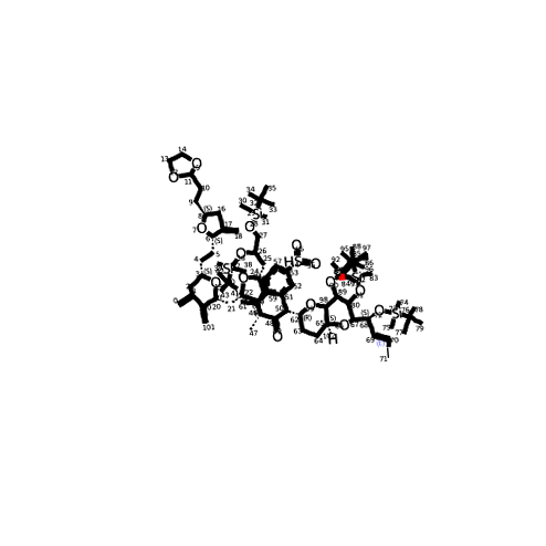 C=C1C[C@H](CC[C@@H]2O[C@@H](CCC3OCCO3)CC2=C)O[C@H](C[C@@H]2O[C@H](CC(CO[Si](C)(C)C(C)(C)C)O[Si](C)(C)C(C)(C)C)C[C@H]2[C@@H](C)C(=O)C(c2cc([SH](=O)=O)ccc2CC)[C@H]2CC[C@@H]3OC([C@H](/C=C/I)O[Si](C)(C)C(C)(C)C)C(O[Si](C)(C)C(C)(C)C)C(O[Si](C)(C)C(C)(C)C)C3O2)C1=C